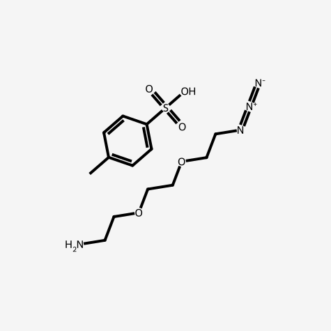 Cc1ccc(S(=O)(=O)O)cc1.[N-]=[N+]=NCCOCCOCCN